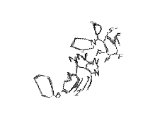 CSc1c(F)c(F)c(F)c(F)c1C(=O)N1CCC[C@@H](n2nc(-c3ccc(Oc4ccccc4)cc3)c3c(N)ncnc32)C1